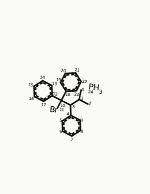 CC(C)C(c1ccccc1)C(Br)(c1ccccc1)c1ccccc1.P